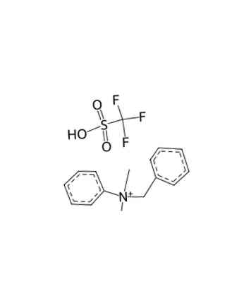 C[N+](C)(Cc1ccccc1)c1ccccc1.O=S(=O)(O)C(F)(F)F